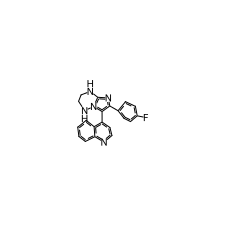 Fc1ccc(-c2nc3n(c2-c2ccnc4ccccc24)NCCN3)cc1